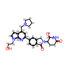 O=C1CCC(N2Cc3cc(-c4cc(CN5CCCC5)c5ccn(CCO)c5n4)ccc3C2=O)C(=O)N1